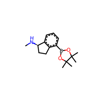 CN[C@@H]1CCc2c(B3OC(C)(C)C(C)(C)O3)cccc21